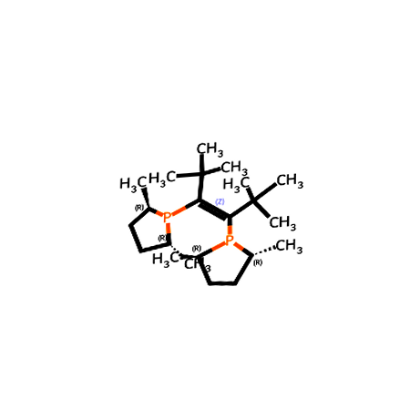 C[C@@H]1CC[C@@H](C)P1/C(=C(\P1[C@H](C)CC[C@H]1C)C(C)(C)C)C(C)(C)C